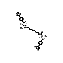 CCC(C)[C@H](NC(=O)c1ccc(-c2cnc[nH]2)cc1)C(=O)NCCCCCCCNC(=O)[C@@H](NC(=O)c1ccc(-c2cnc[nH]2)cc1)C(C)CC